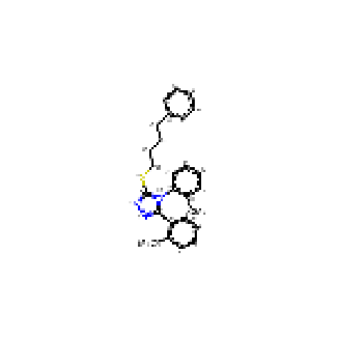 COc1ccccc1-c1nnc(SCCCCc2ccccc2)n1-c1ccccc1OC